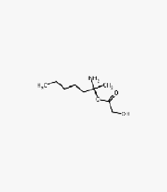 CCCCCC(C)(N)OC(=O)CO